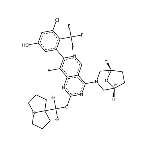 [2H]C([2H])(Oc1nc(N2C[C@H]3CC[C@@H](C2)O3)c2cnc(-c3cc(O)cc(Cl)c3C(F)(F)F)c(F)c2n1)C12CCCN1CCC2